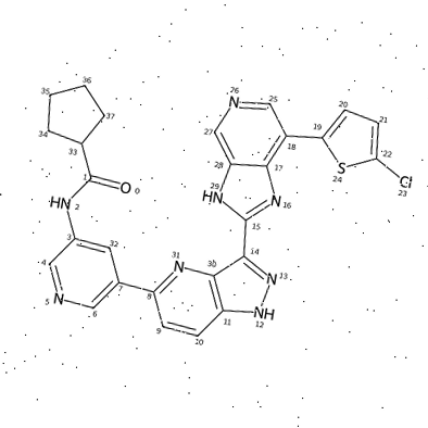 O=C(Nc1cncc(-c2ccc3[nH]nc(-c4nc5c(-c6ccc(Cl)s6)cncc5[nH]4)c3n2)c1)C1CCCC1